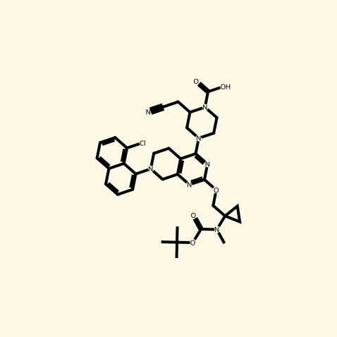 CN(C(=O)OC(C)(C)C)C1(COc2nc3c(c(N4CCN(C(=O)O)C(CC#N)C4)n2)CCN(c2cccc4cccc(Cl)c24)C3)CC1